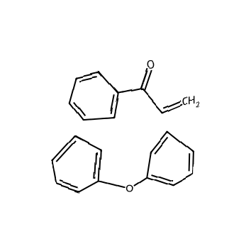 C=CC(=O)c1ccccc1.c1ccc(Oc2ccccc2)cc1